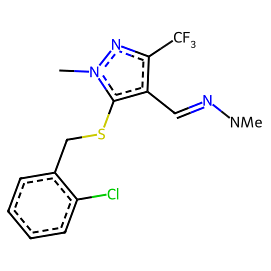 CNN=Cc1c(C(F)(F)F)nn(C)c1SCc1ccccc1Cl